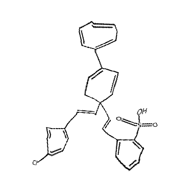 O=S(=O)(O)c1ccccc1C=CC1(C=Cc2ccc(Cl)cc2)C=CC(c2ccccc2)=CC1